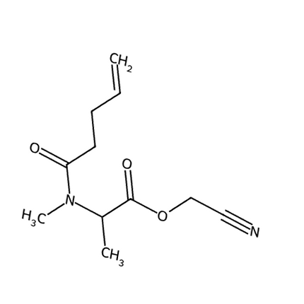 C=CCCC(=O)N(C)C(C)C(=O)OCC#N